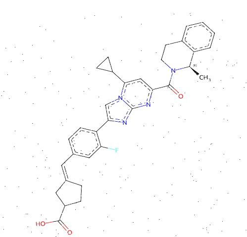 C[C@@H]1c2ccccc2CCN1C(=O)c1cc(C2CC2)n2cc(-c3ccc(/C=C4\CCC(C(=O)O)C4)cc3F)nc2n1